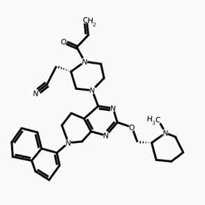 C=CC(=O)N1CCN(c2nc(OC[C@H]3CCCCN3C)nc3c2CCN(c2cccc4ccccc24)C3)C[C@@H]1CC#N